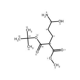 COC(=O)C(CCC(N)O)C(=O)OC(C)(C)C